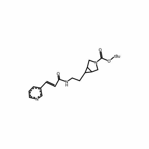 CC(C)(C)OC(=O)N1CC2C(CCNC(=O)/C=C/c3cccnc3)C2C1